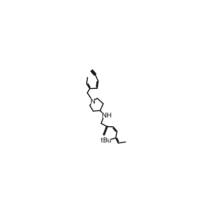 C#C/C=C\C(=C/C)CN1CCC(NCC(=C)/C=C\C(=C/C)C(C)(C)C)CC1